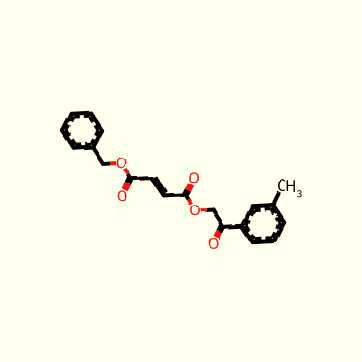 Cc1cccc(C(=O)COC(=O)/C=C/C(=O)OCc2ccccc2)c1